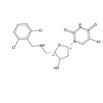 CCc1cn([C@@H]2CC(O)[C@H](CNCc3c(Cl)cccc3Cl)O2)c(=O)[nH]c1=O